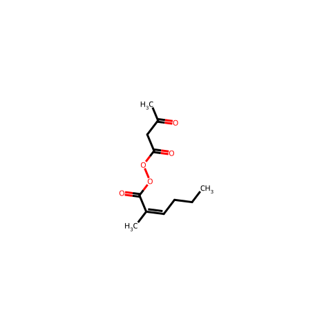 CCCC=C(C)C(=O)OOC(=O)CC(C)=O